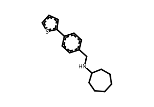 c1csc(-c2ccc(CNC3CCCCCC3)cc2)c1